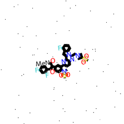 CNC(=O)c1c(-c2ccc(F)cc2F)oc2cc(N(C)S(C)(=O)=O)c(-c3ccc4nc(CN5CC(S(C)(=O)=O)C5)n5c6cccc(F)c6cc5c4n3)cc12